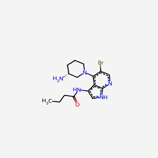 CCCC(=O)Nc1c[nH]c2ncc(Br)c(N3CCC[C@@H](N)C3)c12